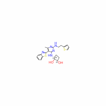 Cc1nc(NCCc2cccs2)nc(N[C@@H]2CC[C@@H](O)[C@H]2O)c1-c1nc2ccccc2s1